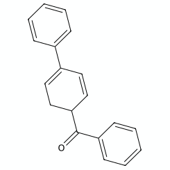 O=C(c1ccccc1)C1C=CC(c2ccccc2)=CC1